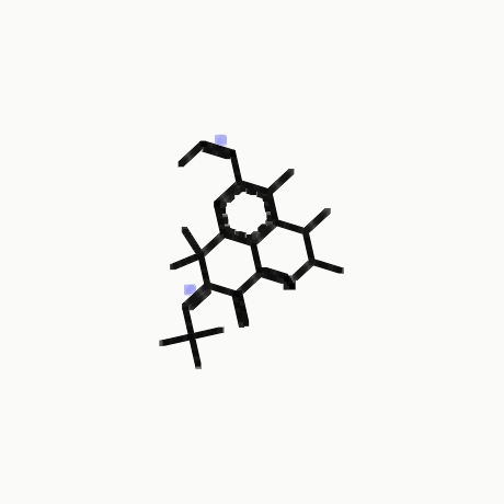 C=C1C2=NC(C)C(C)c3c(C)c(/C=C\C)cc(c32)C(C)(C)/C1=C/C(C)(C)C